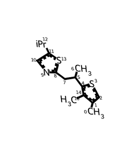 Cc1csc(C(C)Cc2ncc(C(C)C)s2)c1C